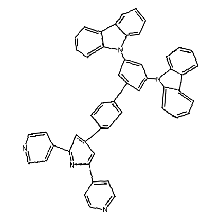 c1ccc2c(c1)c1ccccc1n2-c1cc(-c2ccc(-c3cc(-c4ccncc4)nc(-c4ccncc4)c3)cc2)cc(-n2c3ccccc3c3ccccc32)c1